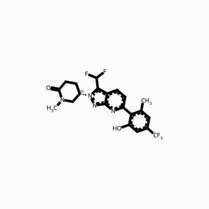 Cc1cc(C(F)(F)F)cc(O)c1-c1ccc2c(C(F)F)n([C@H]3CCC(=O)N(C)C3)nc2n1